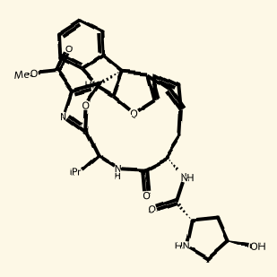 COC(=O)c1nc2oc1[C@@]13c4ccccc4NC1Oc1ccc(cc13)C[C@H](NC(=O)[C@@H]1C[C@@H](O)CN1)C(=O)NC2C(C)C